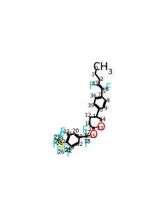 CCC/C(F)=C(\F)c1ccc(C2CCC(OC(F)(F)c3cc(F)c(S(F)(F)(F)(F)F)c(F)c3)OC2)cc1